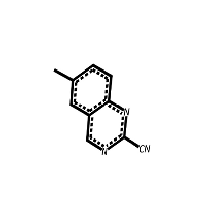 Cc1ccc2nc(C#N)ncc2c1